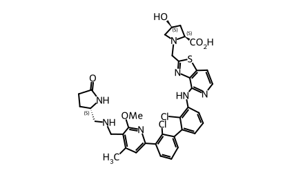 COc1nc(-c2cccc(-c3cccc(Nc4nccc5sc(CN6C[C@@H](O)C[C@H]6C(=O)O)nc45)c3Cl)c2Cl)cc(C)c1CNC[C@@H]1CCC(=O)N1